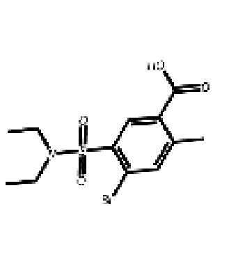 CCN(CC)S(=O)(=O)c1cc(C(=O)O)c(C)cc1Br